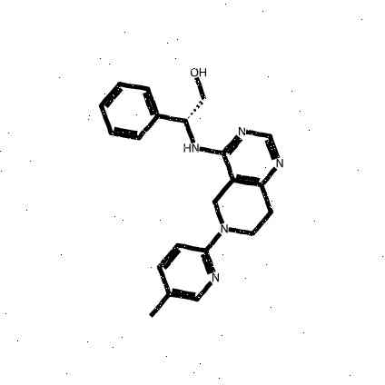 Cc1ccc(N2CCc3ncnc(N[C@@H](CO)c4ccccc4)c3C2)nc1